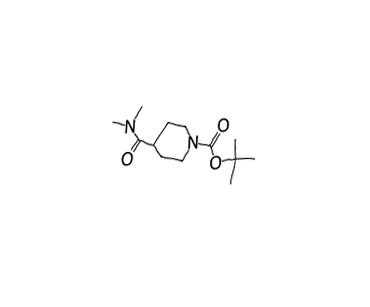 CN(C)C(=O)C1CCN(C(=O)OC(C)(C)C)CC1